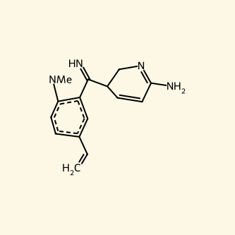 C=Cc1ccc(NC)c(C(=N)C2C=CC(N)=NC2)c1